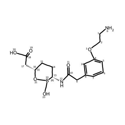 NCCOc1cccc(CC(=O)N[C@H]2CC[C@@H](CC(=O)O)OB2O)c1